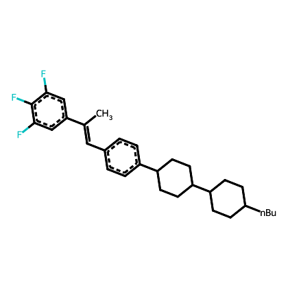 CCCCC1CCC(C2CCC(c3ccc(/C=C(\C)c4cc(F)c(F)c(F)c4)cc3)CC2)CC1